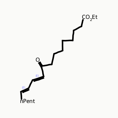 CCCCC/C=C/C=C/C(=O)CCCCCCCC(=O)OCC